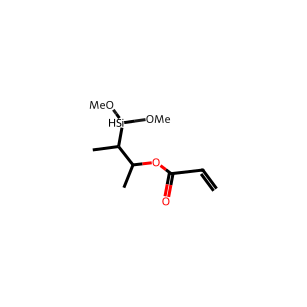 C=CC(=O)OC(C)C(C)[SiH](OC)OC